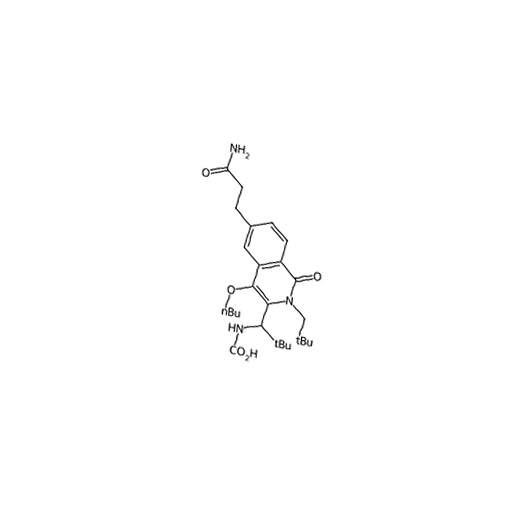 CCCCOc1c(C(NC(=O)O)C(C)(C)C)n(CC(C)(C)C)c(=O)c2ccc(CCC(N)=O)cc12